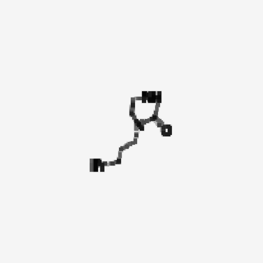 CC(C)CCCN1CCNCC1=O